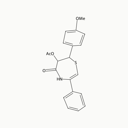 COc1ccc(C2SC=C(c3ccccc3)NC(=O)C2OC(C)=O)cc1